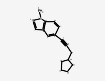 Pn1ncc2cc(C#CCC3CCCC3)ccc21